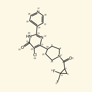 O=C(C1CC1(F)F)N1CCC(c2nc(-c3ccncc3)[nH]c(=O)c2Cl)CC1